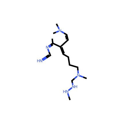 CNNCN(C)CCC/C=C(\C=C/N(C)C)C(/C)=N\C=N